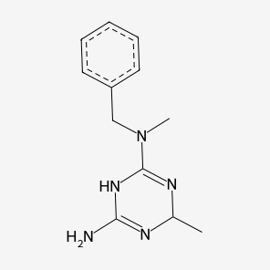 CC1N=C(N)NC(N(C)Cc2ccccc2)=N1